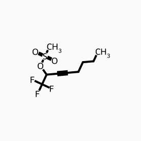 CCCCC#CC(OS(C)(=O)=O)C(F)(F)F